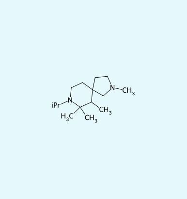 CC(C)N1CCC2(CCN(C)C2)C(C)C1(C)C